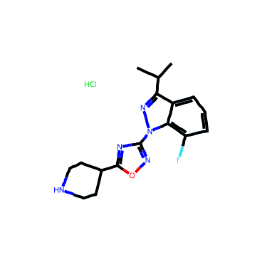 CC(C)c1nn(-c2noc(C3CCNCC3)n2)c2c(F)cccc12.Cl